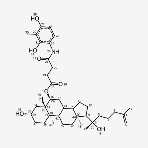 C=C(C)CCC[C@](C)(O)C1CCC2C3C[C@H](OC(=O)CCC(=O)Nc4ccc(O)c(C)c4O)[C@H]4C[C@@H](O)CC[C@]4(C)C3CC[C@@]21C